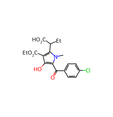 CCOC(=O)c1c(O)c(C(=O)c2ccc(Cl)cc2)n(C)c1C(CC)C(=O)O